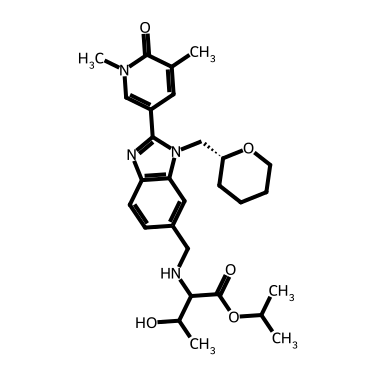 Cc1cc(-c2nc3ccc(CNC(C(=O)OC(C)C)C(C)O)cc3n2C[C@H]2CCCCO2)cn(C)c1=O